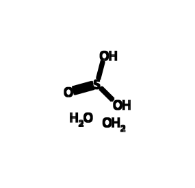 O.O.O=S(O)O